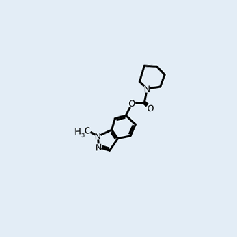 Cn1ncc2ccc(OC(=O)N3CCCCC3)cc21